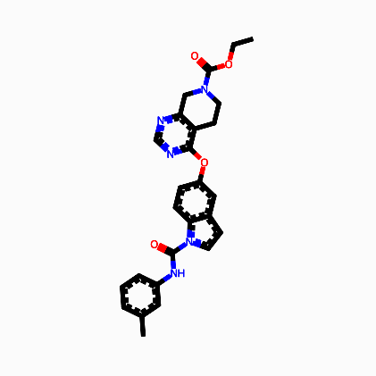 CCOC(=O)N1CCc2c(ncnc2Oc2ccc3c(ccn3C(=O)Nc3cccc(C)c3)c2)C1